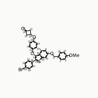 COc1ccc(COc2ccc3c(Oc4ccc(OC5CC(=O)C5)cc4)c(-c4ccc(Br)cc4)sc3c2)cc1